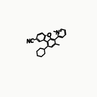 Cc1cc(C2CCCCC2)c2c(oc3ccc(C#N)cc32)c1-c1cccc[n+]1C